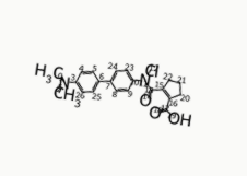 CN(C)c1ccc(-c2ccc(N(Cl)C(=O)C3=C(C(=O)O)CCC3)cc2)cc1